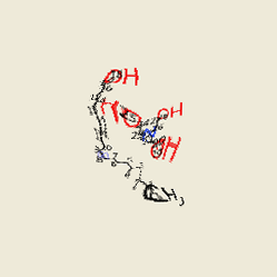 CCCCCCCC/C=C\CCCCCCCCO.OCCN(CCO)CCO